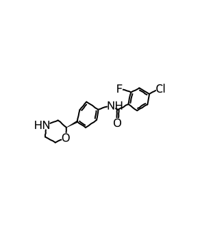 O=C(Nc1ccc([C@@H]2CNCCO2)cc1)c1ccc(Cl)cc1F